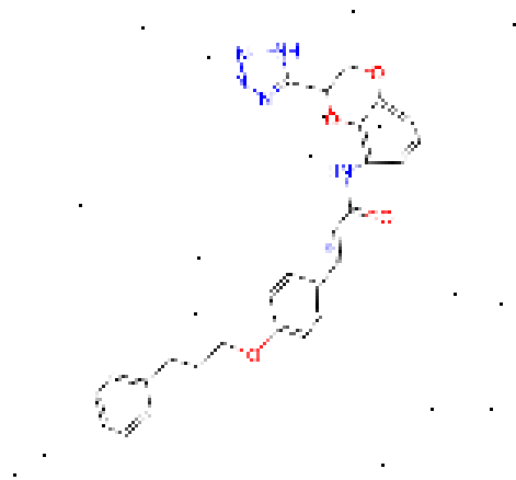 O=C(/C=C/c1ccc(OCCCc2ccccc2)cc1)Nc1cccc2c1OC(c1nnn[nH]1)CO2